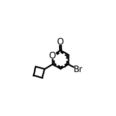 O=c1cc(Br)cc(C2CCC2)o1